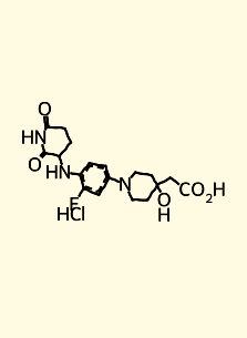 Cl.O=C(O)CC1(O)CCN(c2ccc(NC3CCC(=O)NC3=O)c(F)c2)CC1